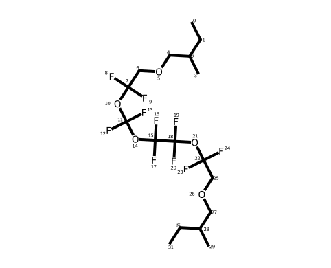 CCC(C)COCC(F)(F)OC(F)(F)OC(F)(F)C(F)(F)OC(F)(F)COCC(C)CC